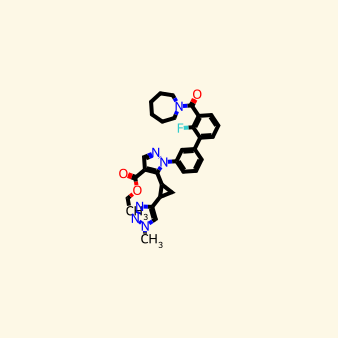 CCOC(=O)c1cnn(-c2cccc(-c3cccc(C(=O)N4CCCCCC4)c3F)c2)c1C1CC1c1cn(C)nn1